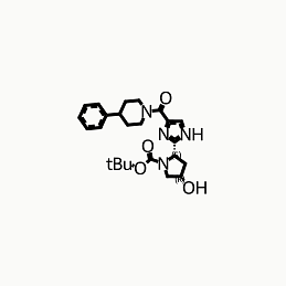 CC(C)(C)OC(=O)N1C[C@H](O)C[C@H]1c1nc(C(=O)N2CCC(c3ccccc3)CC2)c[nH]1